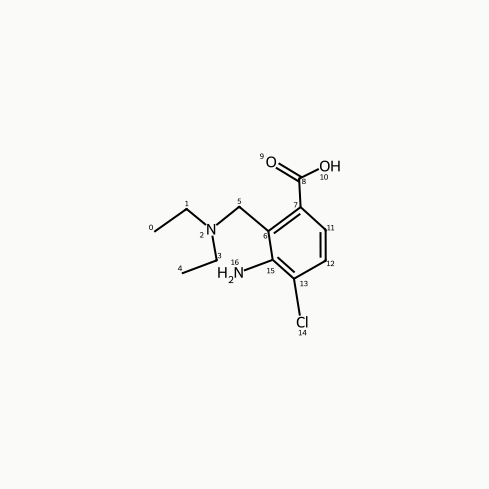 CCN(CC)Cc1c(C(=O)O)ccc(Cl)c1N